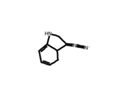 [N-]=[N+]=C1CNC2=CC=CCC21